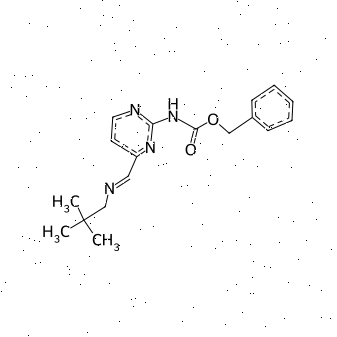 CC(C)(C)CN=Cc1ccnc(NC(=O)OCc2ccccc2)n1